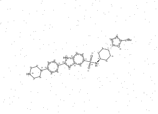 CC(C)(C)c1nnc([C@H]2CC[C@H](NS(=O)(=O)c3ccc4[nH]c(-c5ccc(N6CCNCC6)cc5)nc4c3)CC2)o1